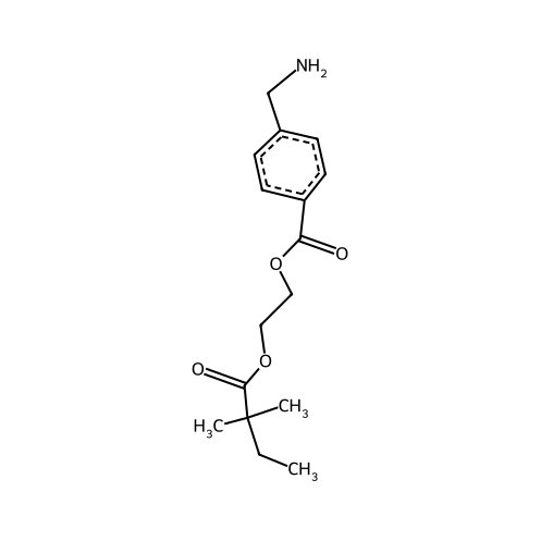 CCC(C)(C)C(=O)OCCOC(=O)c1ccc(CN)cc1